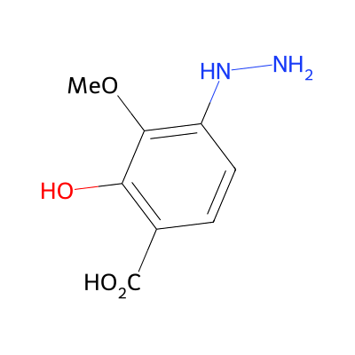 COc1c(NN)ccc(C(=O)O)c1O